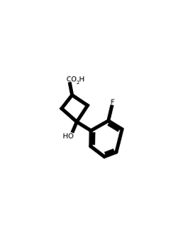 O=C(O)C1CC(O)(c2ccccc2F)C1